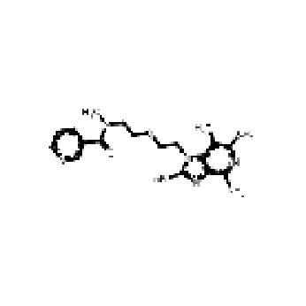 CCCc1nc2c(N)nc(C)c(C)c2n1CCOCCN(C)C(=O)c1cccnc1